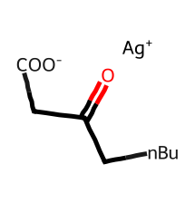 CCCCCC(=O)CC(=O)[O-].[Ag+]